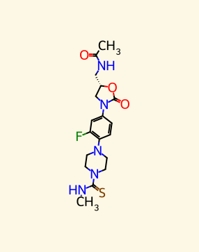 CNC(=S)N1CCN(c2ccc(N3C[C@H](CNC(C)=O)OC3=O)cc2F)CC1